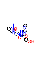 O=C(N[C@H](Cc1ccc(O)cc1)C(=O)N1CCC(N2CCCCC2)CC1)N1CCC(N2CCc3ccccc3NC2=O)CC1